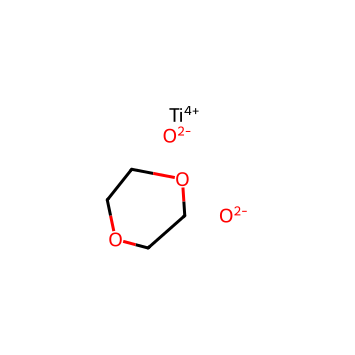 C1COCCO1.[O-2].[O-2].[Ti+4]